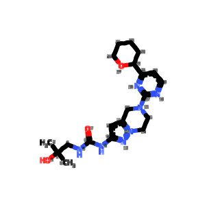 CC(C)(O)CNC(=O)Nc1cc2n(n1)CCN(c1nccc(C3CCCCO3)n1)C2